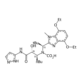 CCCC[C@@H]([C@@H](O)C(=O)Nc1ccn[nH]1)N(C(=O)O)[C@H](c1nc2c(OCC)ccc(OCC)c2n1C)C(C)(C)C